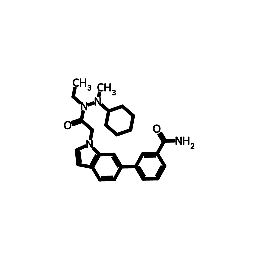 CCN(C(=O)Cn1ccc2ccc(-c3cccc(C(N)=O)c3)cc21)N(C)C1CCCCC1